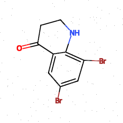 O=C1CCNc2c(Br)cc(Br)cc21